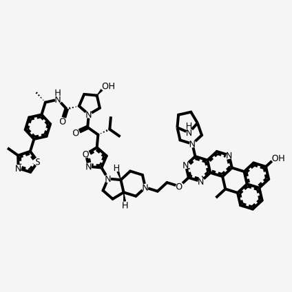 Cc1ncsc1-c1ccc([C@H](C)NC(=O)[C@@H]2C[C@@H](O)CN2C(=O)[C@@H](c2cc(N3CC[C@H]4CN(CCOc5nc(N6CC7CCC(C6)N7)c6cnc7c(c6n5)C(C)c5cccc6cc(O)cc-7c56)CC[C@H]43)no2)C(C)C)cc1